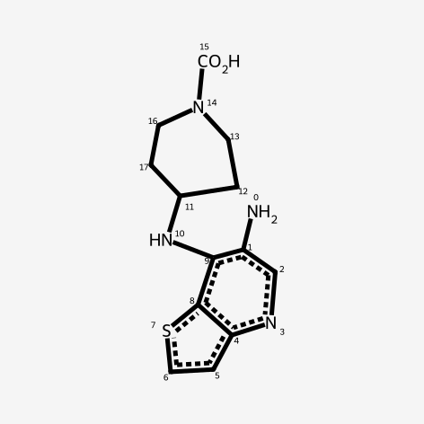 Nc1cnc2ccsc2c1NC1CCN(C(=O)O)CC1